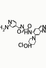 Cn1cc2cc(NC(=O)c3coc(-c4ccnc(N)c4)n3)c(N3CCCCC3)cc2n1.OCl